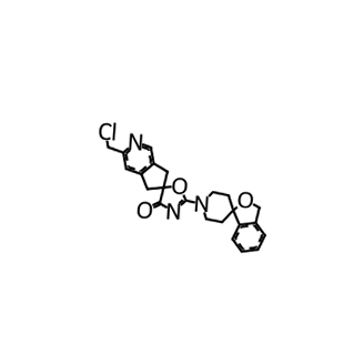 O=C1N=C(N2CCC3(CC2)OCc2ccccc23)OC12Cc1cnc(CCl)cc1C2